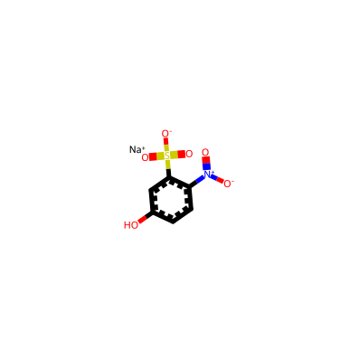 O=[N+]([O-])c1ccc(O)cc1S(=O)(=O)[O-].[Na+]